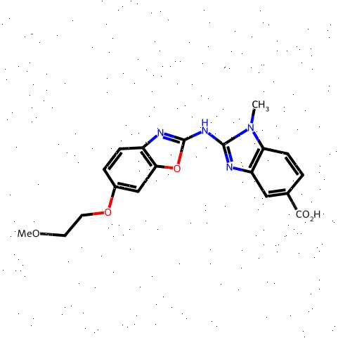 COCCOc1ccc2nc(Nc3nc4cc(C(=O)O)ccc4n3C)oc2c1